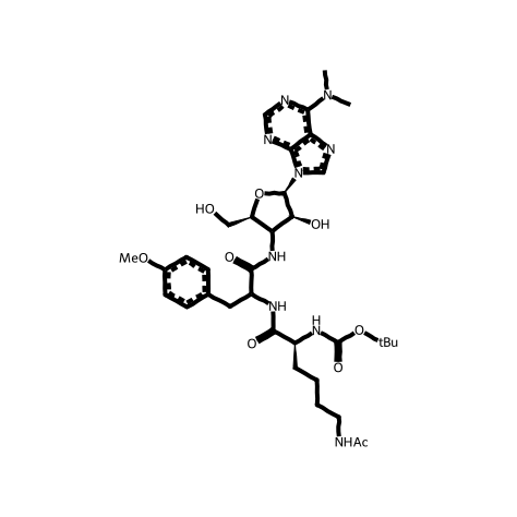 COc1ccc(CC(NC(=O)[C@H](CCCCNC(C)=O)NC(=O)OC(C)(C)C)C(=O)NC2[C@@H](CO)O[C@@H](n3cnc4c(N(C)C)ncnc43)[C@H]2O)cc1